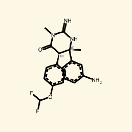 CN1C(=N)N[C@](C)(c2cccc(N)c2)[C@@H](c2ccc(OC(F)F)cc2)C1=O